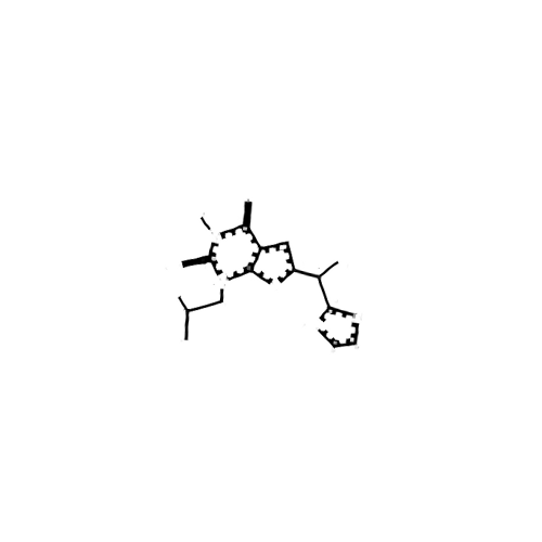 CC(C)Cn1c(=O)n(C)c(=O)c2cc(C(O)c3nccs3)sc21